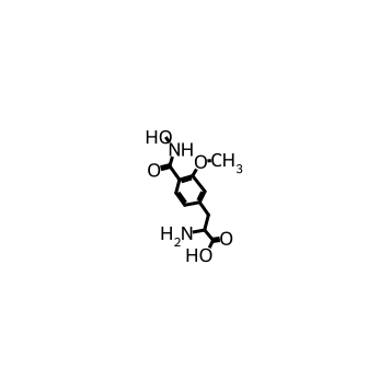 COc1cc(CC(N)C(=O)O)ccc1C(=O)NO